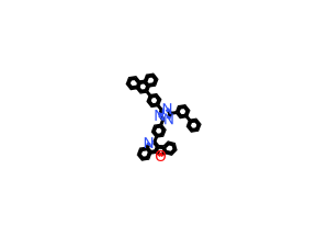 c1ccc(-c2cccc(-c3nc(-c4ccc(-c5cc6ccccc6c6ccccc56)cc4)nc(-c4ccc(-c5nc6ccccc6c6oc7ccccc7c56)cc4)n3)c2)cc1